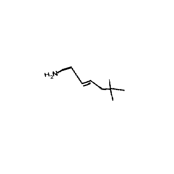 CC(C)(C)CC=CCN